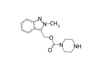 Cn1nc2ccccc2c1COC(=O)N1CCNCC1